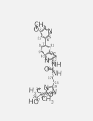 COc1cncc(-c2ccc3nc(NC(=O)NCCc4noc(C(C)(C)CO)n4)sc3c2)c1